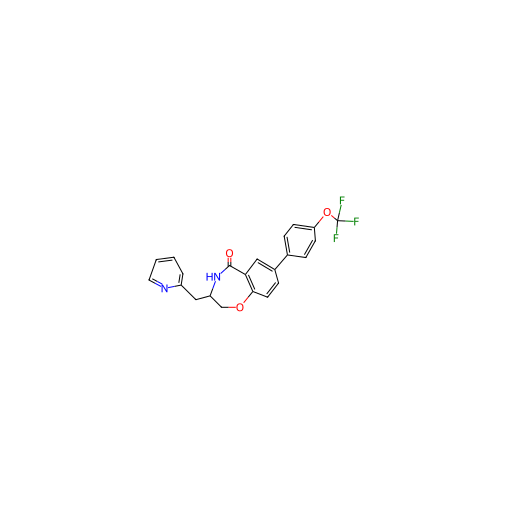 O=C1NC(Cc2ccccn2)COc2ccc(-c3ccc(OC(F)(F)F)cc3)cc21